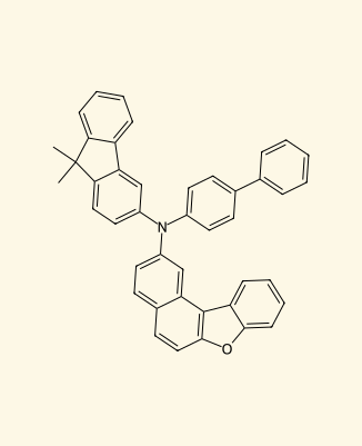 CC1(C)c2ccccc2-c2cc(N(c3ccc(-c4ccccc4)cc3)c3ccc4ccc5oc6ccccc6c5c4c3)ccc21